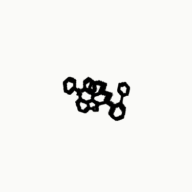 c1ccc(-c2ccccc2-c2cc3ccccc3c3c2oc2cccc(N(c4ccccc4)c4ccccc4)c23)cc1